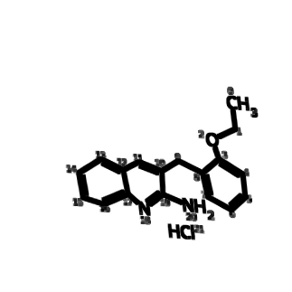 CCOc1ccccc1Cc1cc2ccccc2nc1N.Cl